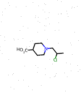 CC(Cl)CN1CCC(C(=O)O)CC1